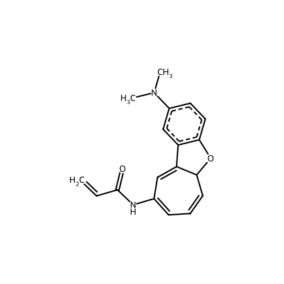 C=CC(=O)NC1=CC=CC2Oc3ccc(N(C)C)cc3C2=C1